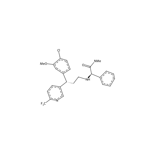 CNC(=O)[C@H](NCC[C@H](c1ccc(C(F)(F)F)nc1)c1ccc(Cl)c(OC)c1)c1ccccc1